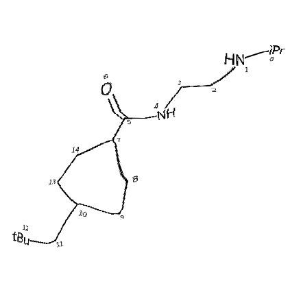 CC(C)NCCNC(=O)C1CCC(CC(C)(C)C)CC1